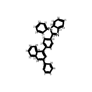 c1ccc(-c2cc(-c3ccc(-c4nc5ccccc5n4-c4ccccc4)cc3)c3ccccc3c2)cc1